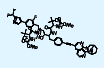 COC(=O)N[C@H](C(=O)N[C@@H](Cc1ccc(C#Cc2ccc(N3CC4CCC(C3)N(c3ccccn3)C4)nc2)cc1)[C@@H](O)CN(Cc1c(F)cc(-c2cnn(C(F)F)c2)cc1F)NC(=O)[C@@H](NC(=O)OC)C(C)(C)C(F)(F)F)C(C)(C)C(F)(F)F